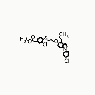 CCCc1c(OCCCSc2ccc(CC(=O)OC)cc2Cl)ccc2c1ccn2-c1ccc(Cl)cc1